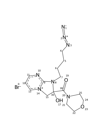 [Br-].[N-]=[N+]=NCCCCN1c2nccc[n+]2CC1(O)C(=O)N1CCOCC1